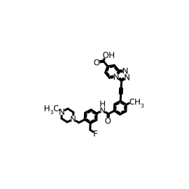 Cc1ccc(C(=O)Nc2ccc(CN3CCN(C)CC3)c(CF)c2)cc1C#Cc1nnc2cc(C(=O)O)ccn12